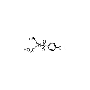 CCCC1[C@@H](C(=O)O)N1S(=O)(=O)c1ccc(C)cc1